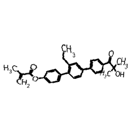 C=C(C)C(=O)Oc1ccc(-c2ccc(-c3ccc(C(=O)C(C)(C)O)cc3)cc2CC)cc1